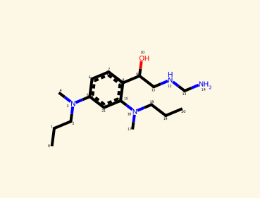 CCCN(C)c1ccc(C(O)CNCN)c(N(C)CCC)c1